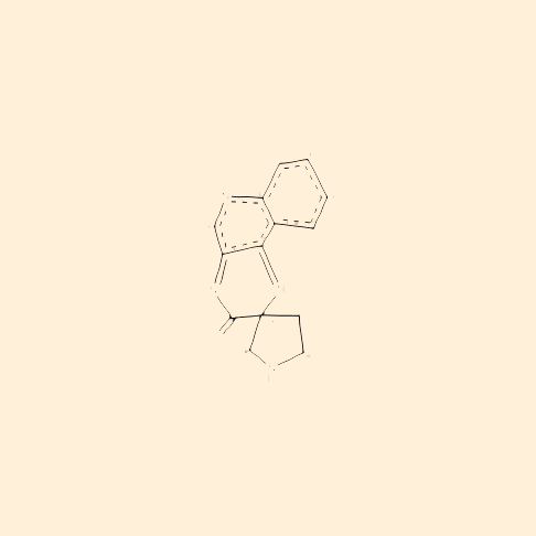 O=C1N=c2cnc3ccccc3c2=NC12CCNC2